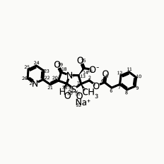 C[C@]1(COC(=O)Cc2ccccc2)[C@H](C(=O)[O-])N2C(=O)/C(=C\c3ccccn3)[C@H]2S1(=O)=O.[Na+]